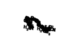 Cc1ncsc1-c1ccc(CNC(=O)[C@@H]2CCCN2C(=O)CNC(=O)COc2ccc(Oc3cccc(-c4ccc(N5C(=S)N(c6ccc(C#N)c(C(F)(F)F)c6)C(=O)C5(C)C)cc4)c3)cc2)cc1